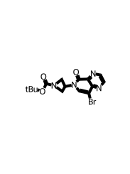 CC(C)(C)OC(=O)N1CC(n2cc(Br)c3nccnc3c2=O)C1